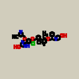 Cc1c(COc2cc(OCc3cncc(C#N)c3)c(C3=NCC(O)CN3)cc2Cl)cccc1-c1cccc(OCC(CN2CCC(O)CC2)c2ccccc2)c1C